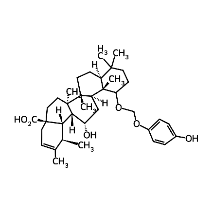 CC1=CC[C@]2(C(=O)O)CC[C@]3(C)[C@@H]([C@@H]2[C@H]1C)[C@@H](O)C[C@@H]1[C@@]2(C)C(OCOc4ccc(O)cc4)CCC(C)(C)[C@@H]2CC[C@]13C